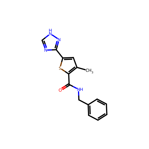 Cc1cc(-c2nc[nH]n2)sc1C(=O)NCc1ccccc1